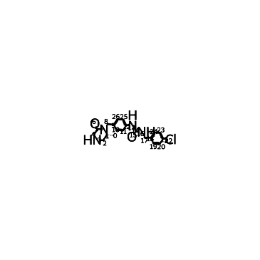 C[C@@H]1CNCC(=O)N1Cc1ccc(NC(=O)NCc2ccc(Cl)cc2)cc1